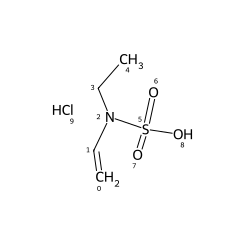 C=CN(CC)S(=O)(=O)O.Cl